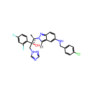 CCc1c2cc(NCc3ccc(Cl)cc3)ccc2nn1[C@H](C)[C@](O)(Cn1cncn1)c1ccc(F)cc1F